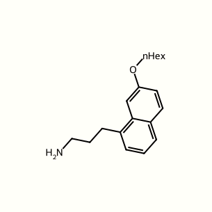 CCCCCCOc1ccc2cccc(CCCN)c2c1